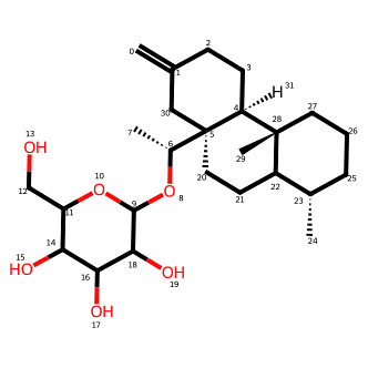 C=C1CC[C@@H]2[C@]([C@@H](C)OC3OC(CO)C(O)C(O)C3O)(CCC3[C@@H](C)CCC[C@]32C)C1